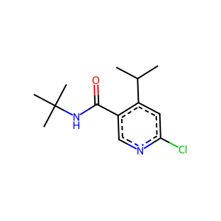 CC(C)c1cc(Cl)ncc1C(=O)NC(C)(C)C